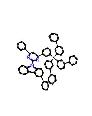 c1ccc(-c2cccc([Si](c3cccc(-c4ccccc4)c3)(c3cccc(-c4ccccc4)c3)c3cccc(-c4cc(-c5ccccc5)nc(-n5c6ccccc6c6cc(-c7ccccc7)ccc65)n4)c3)c2)cc1